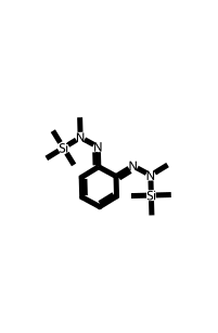 CN(N=C1C=CC=CC1=NN(C)[Si](C)(C)C)[Si](C)(C)C